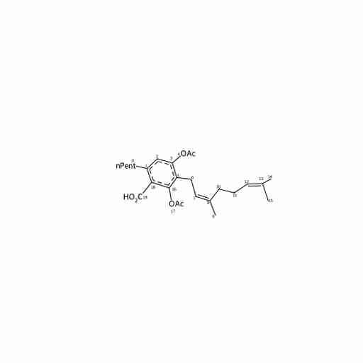 CCCCCc1cc(OC(C)=O)c(CC=C(C)CCC=C(C)C)c(OC(C)=O)c1C(=O)O